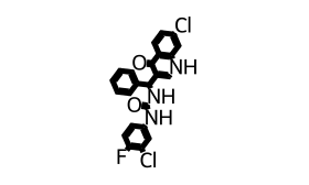 O=C(Nc1ccc(F)c(Cl)c1)NC(c1ccccc1)c1c[nH]c2cc(Cl)ccc2c1=O